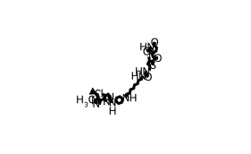 Cn1ncc(-c2nc(N[C@H]3CC[C@H](NCCCCCCCCNC(=O)NCc4cc5c(s4)C(=O)N(C4CCC(=O)NC4=O)C5)CC3)ncc2Cl)c1CC1CC1